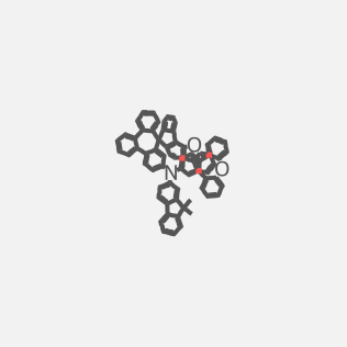 CC1(C)c2ccccc2-c2ccc(N(c3ccc4c(c3)-c3ccccc3Oc3ccccc3-4)c3ccc4c(c3)C3(c5ccccc5-c5ccccc5-4)c4ccccc4-c4c3ccc3c4oc4ccccc43)cc21